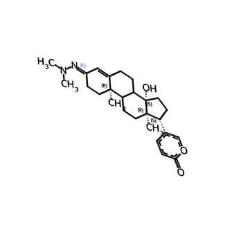 CN(C)/N=C1/C=C2CCC3C(CC[C@]4(C)[C@@H](c5ccc(=O)oc5)CC[C@]34O)[C@@]2(C)CC1